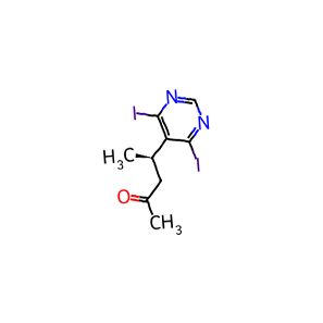 CC(=O)C[C@@H](C)c1c(I)ncnc1I